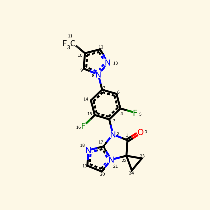 O=C1N(c2c(F)cc(-n3cc(C(F)(F)F)cn3)cc2F)c2nccn2C12CC2